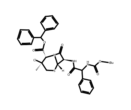 CC(C)(C)OC(=O)NC(C(=O)N[C@@H]1C(=O)N2[C@@H](C(=O)OC(c3ccccc3)c3ccccc3)[C@](C)(Cl)CS[C@@H]12)c1ccccc1